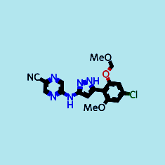 COCOc1cc(Cl)cc(OC)c1-c1cc(Nc2cnc(C#N)cn2)n[nH]1